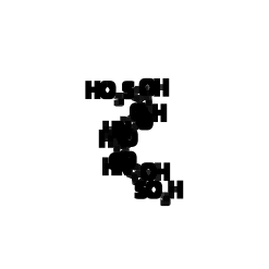 Cc1cc(S(=O)(=O)Nc2ccc3c(O)cc(S(=O)(=O)O)cc3c2)ccc1NC(=O)Nc1ccc(S(=O)(=O)Nc2ccc3c(O)cc(S(=O)(=O)O)cc3c2)cc1C